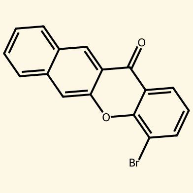 O=c1c2cc3ccccc3cc2oc2c(Br)cccc12